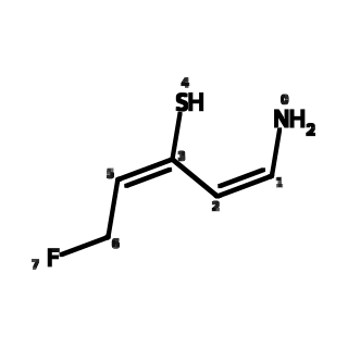 N/C=C\C(S)=C/CF